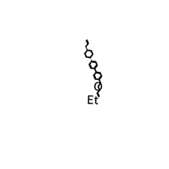 C=CC[C@H]1CC[C@H](c2ccc(-c3ccc(COCC=CCC)cc3)cc2)CC1